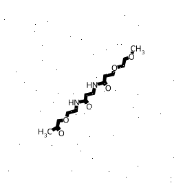 COCCOCCC(=O)NCCC(=O)NCCOCC(C)=O